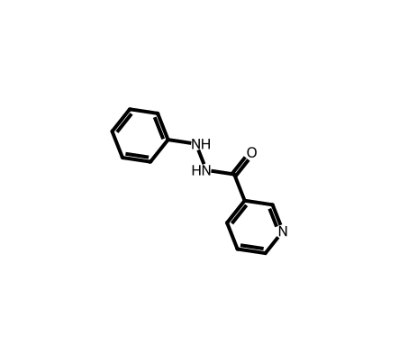 O=C(NNc1ccccc1)c1cccnc1